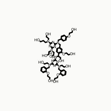 OCCCN(CCO)c1nc(N(CCO)CCO)nc(N(Cc2ccc(OCCO)cc2)Cc2ccc(C(CO)Nc3nc(N(CCO)Cc4ccccc4OCCO)nc(N(CCO)Cc4ccccc4OCCO)n3)c(OCCO)c2)n1